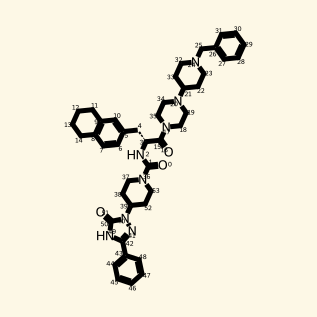 O=C(N[C@H](Cc1ccc2c(c1)CCCC2)C(=O)N1CCN(C2CCN(Cc3ccccc3)CC2)CC1)N1CCC(n2nc(-c3ccccc3)[nH]c2=O)CC1